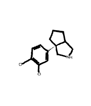 Clc1ccc([C@]23CCCC2CNC3)cc1Cl